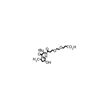 C[C@@H]1C[C@@H](O)CN1C(=O)[C@@H](NC(=O)CCOCCOCCC(=O)O)C(C)(C)C